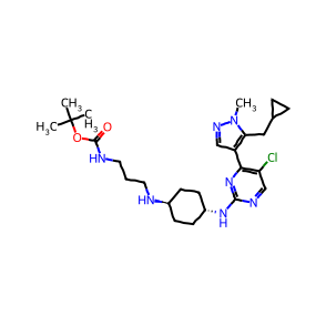 Cn1ncc(-c2nc(N[C@H]3CC[C@H](NCCCNC(=O)OC(C)(C)C)CC3)ncc2Cl)c1CC1CC1